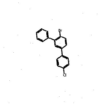 Clc1ccc(-c2ccc(Br)c(-c3ccccc3)c2)cc1